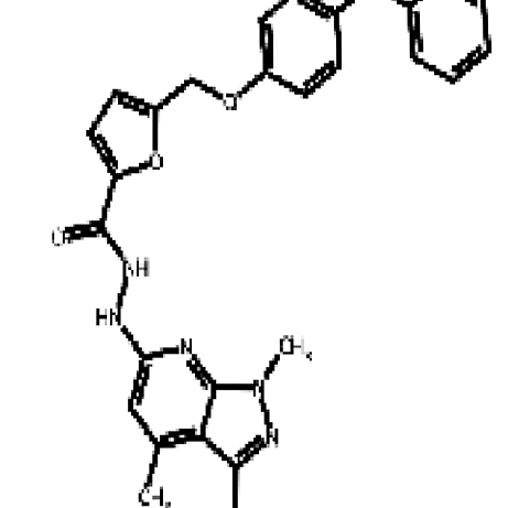 Cc1cc(NNC(=O)c2ccc(COc3ccc(Cc4ccccc4)cc3)o2)nc2c1c(C)nn2C